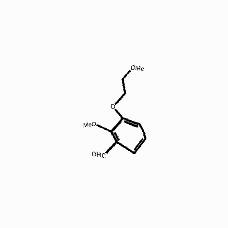 COCCOc1cccc(C=O)c1OC